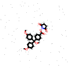 COc1ccc(C(OC)(c2ccc(OC)cc2)c2ccc(C(=O)ON3C(=O)CCC3=O)cc2)cc1